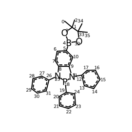 CC1(C)OB(c2ccc3c(c2)N(c2ccccc2)P(c2ccccc2)N3c2ccccc2)OC1(C)C